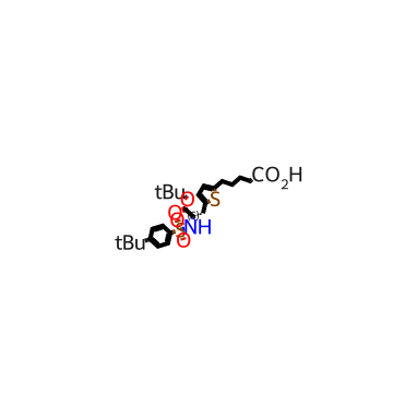 CC(C)(C)OC(=O)[C@H](Cc1ccc(CCCCC(=O)O)s1)NS(=O)(=O)c1ccc(C(C)(C)C)cc1